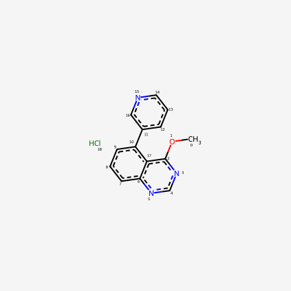 COc1ncnc2cccc(-c3cccnc3)c12.Cl